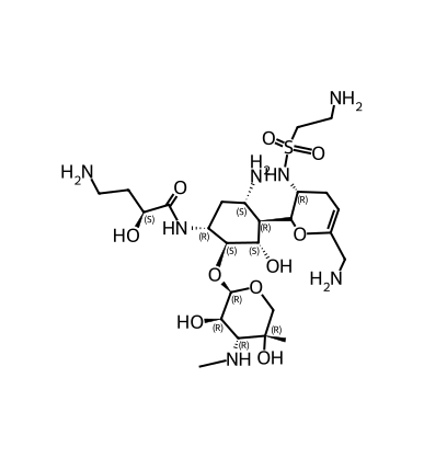 CN[C@@H]1[C@@H](O)[C@@H](O[C@@H]2[C@@H](O)[C@H](C3OC(CN)=CC[C@H]3NS(=O)(=O)CCN)[C@@H](N)C[C@H]2NC(=O)[C@@H](O)CCN)OC[C@]1(C)O